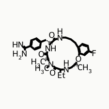 CCC1NC[C@@H](C)Oc2cc(F)ccc2CCCNC(=O)[C@@H](Cc2ccc(C(=N)N)cc2)NC(=O)[C@@H](C)N(C)C1=O